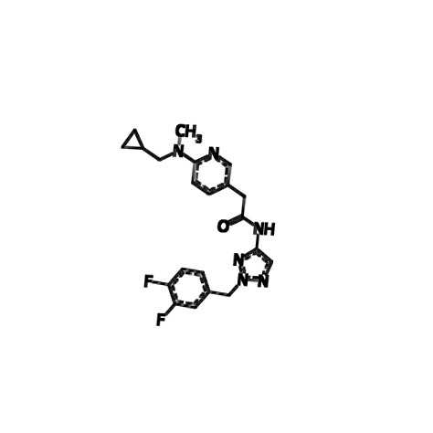 CN(CC1CC1)c1ccc(CC(=O)Nc2cnn(Cc3ccc(F)c(F)c3)n2)cn1